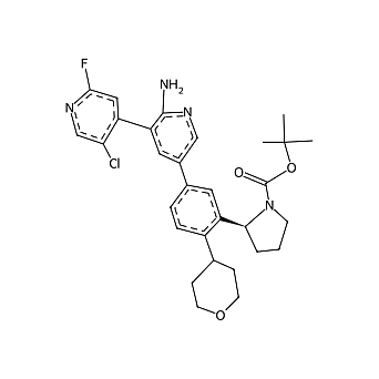 CC(C)(C)OC(=O)N1CCC[C@H]1c1cc(-c2cnc(N)c(-c3cc(F)ncc3Cl)c2)ccc1C1CCOCC1